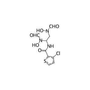 O=CN(O)CC(NC(=O)c1sccc1Cl)N(O)C=O